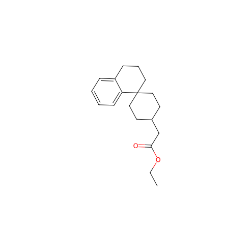 CCOC(=O)CC1CCC2(CCCc3ccccc32)CC1